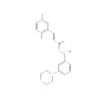 C[C@@H]1CN(c2cccc([C@H](C)NC(=O)/C=C/c3cc(F)ccc3F)c2)C[C@H](C)O1